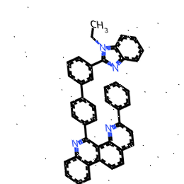 CCn1c(-c2cccc(-c3ccc(-c4nc5ccccc5c5ccc6ccc(-c7ccccc7)nc6c45)cc3)c2)nc2ccccc21